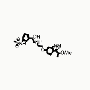 COC(C)c1n[nH]c2cc(OCCNCC(O)c3cccc(NS(C)(=O)=O)c3)ccc12